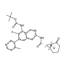 Cc1ccncc1-c1cc2cc(NC(=O)[C@H]3[C@@H]4CCCC(=O)[C@@H]43)ncc2c(NC(=O)OC(C)(C)C)c1F